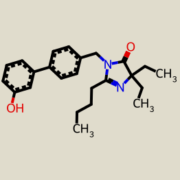 CCCCC1=NC(CC)(CC)C(=O)N1Cc1ccc(-c2cccc(O)c2)cc1